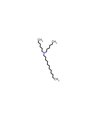 CCCCCCCCCCCCN(CCCCCC)CCCCCC